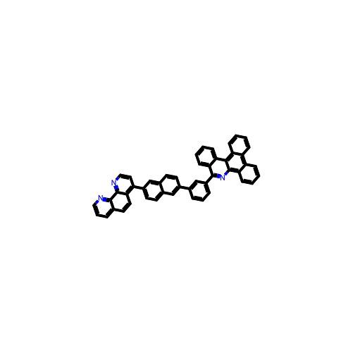 c1cc(-c2ccc3cc(-c4ccnc5c4ccc4cccnc45)ccc3c2)cc(-c2nc3c4ccccc4c4ccccc4c3c3ccccc23)c1